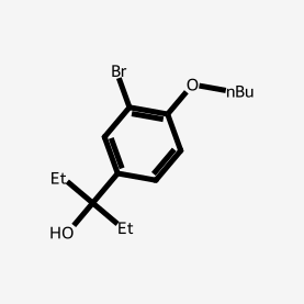 CCCCOc1ccc(C(O)(CC)CC)cc1Br